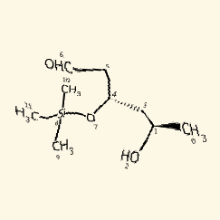 C[C@@H](O)C[C@@H](CC=O)O[Si](C)(C)C